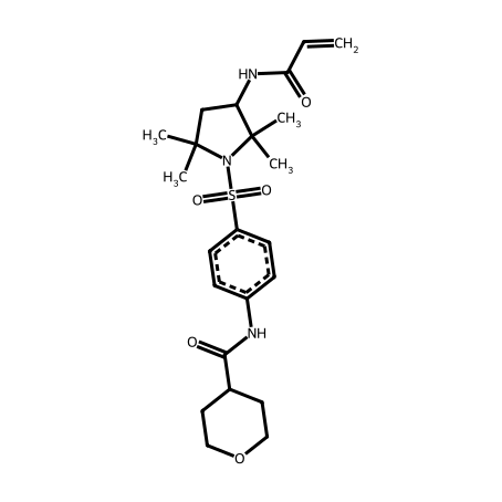 C=CC(=O)NC1CC(C)(C)N(S(=O)(=O)c2ccc(NC(=O)C3CCOCC3)cc2)C1(C)C